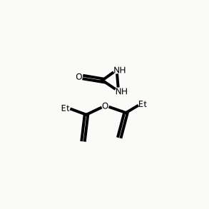 C=C(CC)OC(=C)CC.O=C1NN1